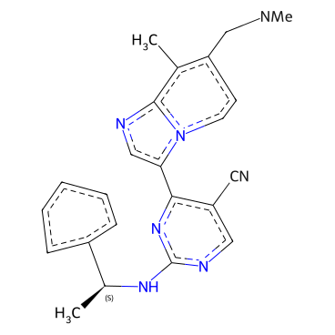 CNCc1ccn2c(-c3nc(N[C@@H](C)c4ccccc4)ncc3C#N)cnc2c1C